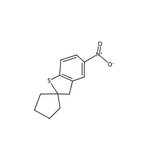 O=[N+]([O-])c1ccc2c(c1)CC1(CCCC1)S2